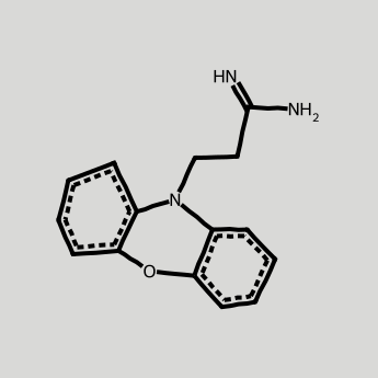 N=C(N)CCN1c2ccccc2Oc2ccccc21